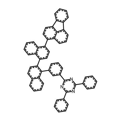 c1ccc(-c2nc(-c3ccccc3)nc(-c3cccc(-c4c(-c5ccc(-c6ccc7c8c(cccc68)-c6ccccc6-7)c6ccccc56)ccc5ccccc45)c3)n2)cc1